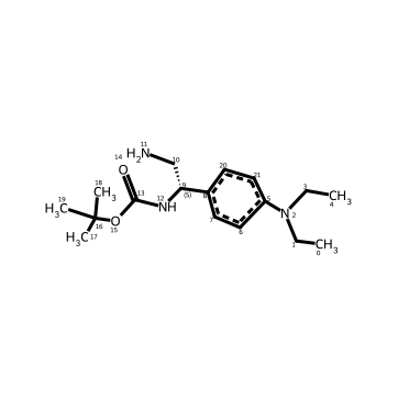 CCN(CC)c1ccc([C@@H](CN)NC(=O)OC(C)(C)C)cc1